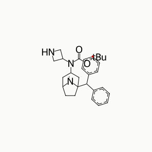 CN1C2CCC1(C(c1ccccc1)c1ccccc1)CC(N(C(=O)OC(C)(C)C)C1CNC1)C2